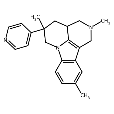 Cc1ccc2c(c1)c1c3n2CC(C)(c2ccncc2)CC3CN(C)C1